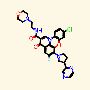 O=C(NCCN1CCOCC1)c1cn2c3c(c(N4CCC(c5cnccn5)C4)c(F)cc3c1=O)Oc1cc(Cl)ccc1-2